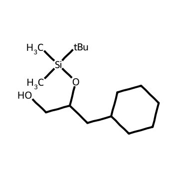 CC(C)(C)[Si](C)(C)OC(CO)CC1CCCCC1